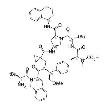 COC[C@H](c1ccccc1)N(CC1(C(=O)N[C@H]2C[C@@H](C(=O)N[C@@H]3CCCc4ccccc43)N(C(=O)[C@@H](NC(=O)[C@H](C)N(C)C(=O)O)C(C)(C)C)C2)CC1)C(=O)[C@@H]1Cc2ccccc2CN1C(=O)[C@@H](N)C(C)(C)C